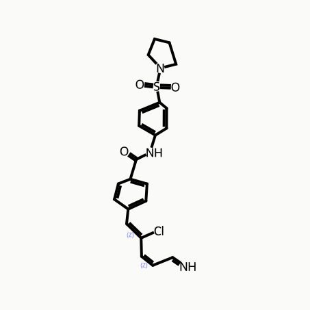 N=C/C=C\C(Cl)=C\c1ccc(C(=O)Nc2ccc(S(=O)(=O)N3CCCC3)cc2)cc1